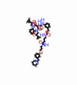 O=C(CCCNC(=O)OCc1cccc(NC(=O)NC2C(=O)N(CC(=O)C3CC3)c3ccccc3N(CC(=O)C3CC3)C2=O)c1)NCCCOc1cccc(CN2CCCCC2)c1